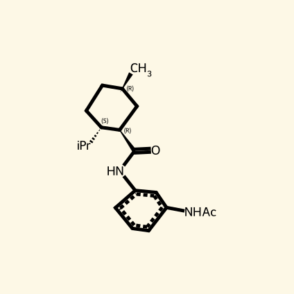 CC(=O)Nc1cccc(NC(=O)[C@@H]2C[C@H](C)CC[C@H]2C(C)C)c1